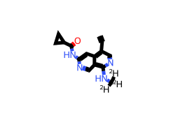 [2H]C([2H])([2H])Nc1ncc(C#C)c2cc(NC(=O)C3CC3)ncc12